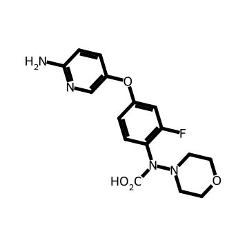 Nc1ccc(Oc2ccc(N(C(=O)O)N3CCOCC3)c(F)c2)cn1